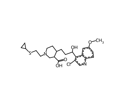 COc1ccc2ncc(Cl)c(C(O)CCC3CCN(CCSC4CC4)CC3C(=O)O)c2c1